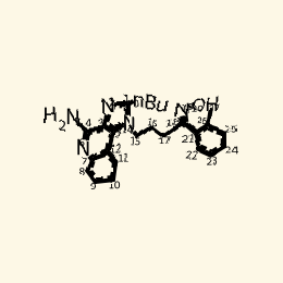 CCCCc1nc2c(N)nc3ccccc3c2n1CCCC(=NO)c1ccccc1C